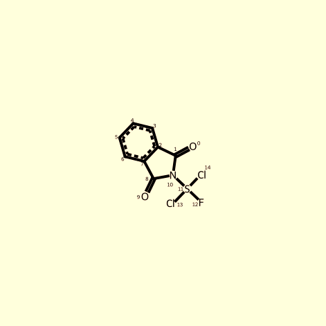 O=C1c2ccccc2C(=O)N1S(F)(Cl)Cl